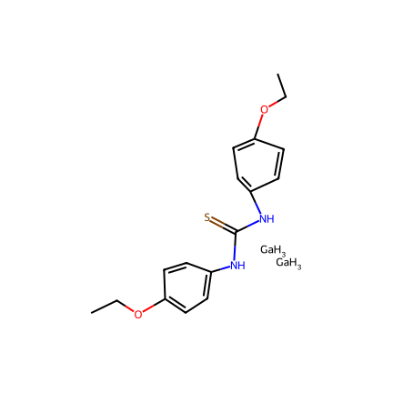 CCOc1ccc(NC(=S)Nc2ccc(OCC)cc2)cc1.[GaH3].[GaH3]